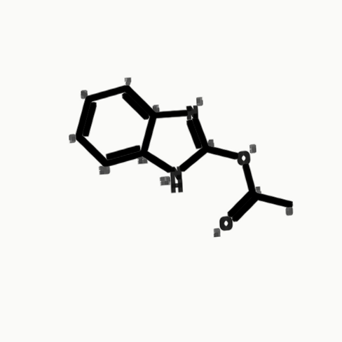 CC(=O)Oc1nc2ccccc2[nH]1